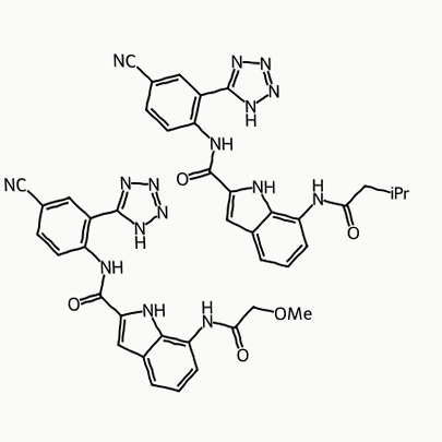 CC(C)CC(=O)Nc1cccc2cc(C(=O)Nc3ccc(C#N)cc3-c3nnn[nH]3)[nH]c12.COCC(=O)Nc1cccc2cc(C(=O)Nc3ccc(C#N)cc3-c3nnn[nH]3)[nH]c12